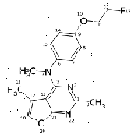 Cc1nc(N(C)c2ccc(OCCF)cc2)c2c(C)coc2n1